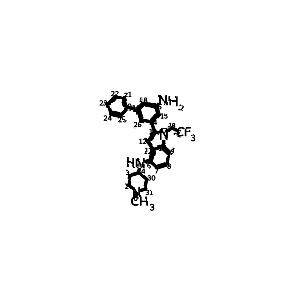 CN1CCC(Nc2cccc3c2cc(-c2cc(N)cc(-c4ccccc4)c2)n3CC(F)(F)F)CC1